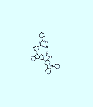 CN/C(=N\C(=N)c1ccccc1)c1cccc(-n2c3ccccc3c3cc4c(cc32)c(=O)[nH]c2cc3c(cc24)c2ccccc2n3-c2ccccc2)c1